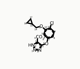 O=C(O)c1[nH]nnc1Oc1ccc(Cl)c(OCC2CC2)c1